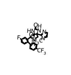 Cn1ccnc1C1(CNC(=O)c2cc(F)ccc2-c2ccc(C(F)(F)F)cc2)NC(=O)NC1=O